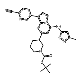 Cc1cc(Nc2cc(C3CCCN(C(=O)OC(C)(C)C)C3)nc3c(-c4ccc(C#N)nc4)cnn23)sn1